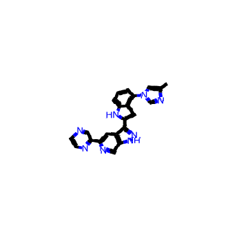 Cc1cn(-c2cccc3[nH]c(-c4n[nH]c5cnc(-c6cnccn6)cc45)cc23)cn1